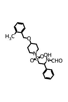 Cc1ccccc1COC1CCN(S(=O)(=O)CC(c2ccccc2)N(O)C=O)CC1